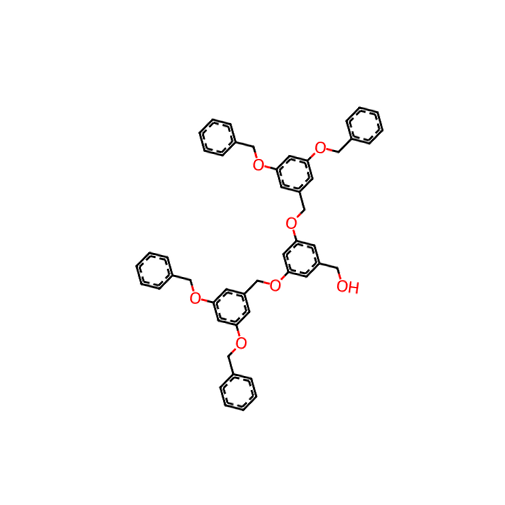 OCc1cc(OCc2cc(OCc3ccccc3)cc(OCc3ccccc3)c2)cc(OCc2cc(OCc3ccccc3)cc(OCc3ccccc3)c2)c1